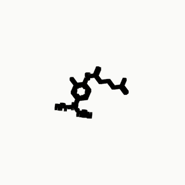 C=C(C)CCCC(=C)Sc1ccc(N(CCC)CCCC)cc1C